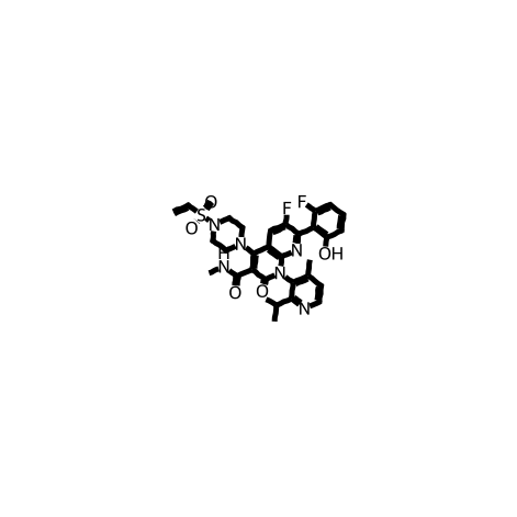 C=CS(=O)(=O)N1CCN(c2c(C(=O)NC)c(=O)n(-c3c(C)ccnc3C(C)C)c3nc(-c4c(O)cccc4F)c(F)cc23)CC1